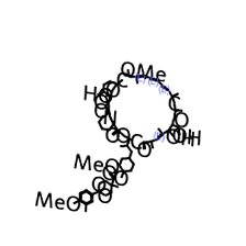 COc1ccc(C2OCC(C)(C(=O)OC3CCC(CC(C)C4CC(=O)C(C)/C=C(\C)C(O)C(CO)C(=O)C(C)CC(C)/C=C/C=C/C=C(\C)C(OC)CC5CCC(C)C(O)(O5)C(=O)C(=O)N5CCCCC5C(=O)O4)CC3OC)CO2)cc1C